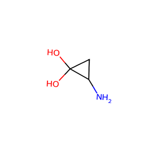 NC1CC1(O)O